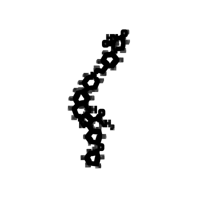 NC(=O)c1c(-c2ccc(Oc3ccccc3)cc2)nn2c1Nc1cc(C3CCN(CCc4ccc(N5CCC(=O)NC5=O)cc4)CC3)ccc1CC2